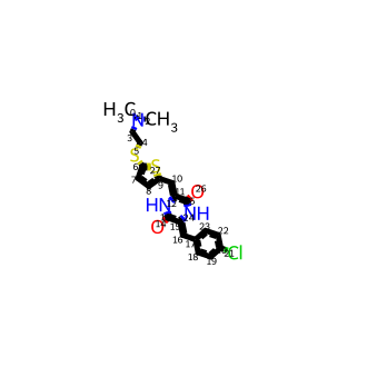 CN(C)CCSc1ccc(/C=c2\[nH]c(=O)/c(=C/c3ccc(Cl)cc3)[nH]c2=O)s1